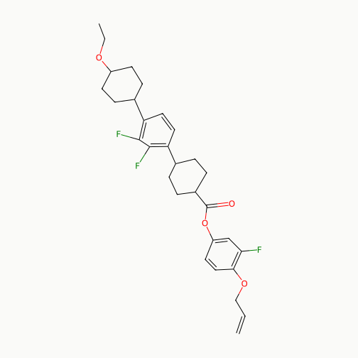 C=CCOc1ccc(OC(=O)C2CCC(c3ccc(C4CCC(OCC)CC4)c(F)c3F)CC2)cc1F